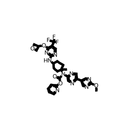 COc1ncc(-c2cnc(N(C(=O)Oc3ccccn3)C3(C)CCC(Nc4ncc(C(F)(F)F)c(OC5COC5)n4)CC3)cn2)cn1